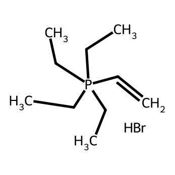 Br.C=CP(CC)(CC)(CC)CC